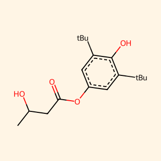 CC(O)CC(=O)Oc1cc(C(C)(C)C)c(O)c(C(C)(C)C)c1